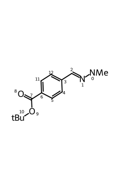 CNN=Cc1ccc(C(=O)OC(C)(C)C)cc1